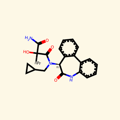 CCCC(O)(C(N)=O)C(=O)N(CC1CC1)[C@@H]1C(=O)Nc2ccccc2-c2ccccc21